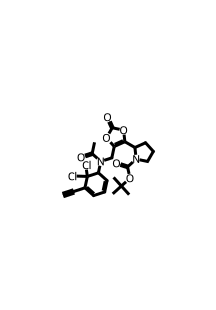 C#CC1=CC=CC(N(Cc2oc(=O)oc2C2CCCN2C(=O)OC(C)(C)C)C(C)=O)C1(Cl)Cl